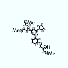 CNCC(O)COc1cccc(-c2nc(C3CCCC3)cc(N(CCOC)CCOC)n2)c1